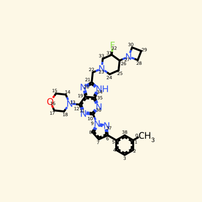 Cc1cccc(-c2ccn(-c3nc(N4CCOCC4)c4nc(CN5CCC(N6CCC6)C(F)C5)[nH]c4n3)n2)c1